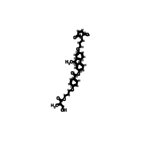 C=C(CO)C(=O)OCCCOc1ccc(C(=O)Oc2ccc3c(c2)C(C)c2cc(OCCCN4C(=O)C=CC4=O)ccc2-3)cc1